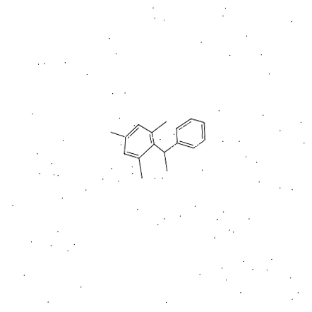 Cc1cc(C)c(C(C)c2ccccc2)c(C)c1